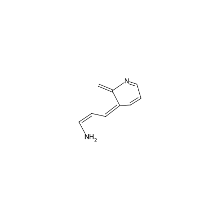 C=c1nccc/c1=C/C=C\N